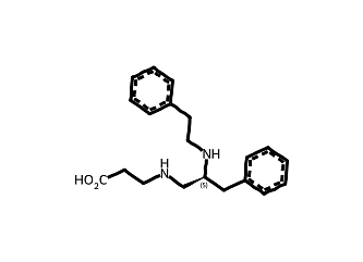 O=C(O)CCNC[C@H](Cc1ccccc1)NCCc1ccccc1